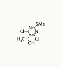 CSc1nc(Cl)c(C(C)O)c(Cl)n1